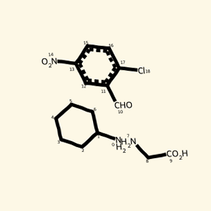 NC1CCCCC1.NCC(=O)O.O=Cc1cc([N+](=O)[O-])ccc1Cl